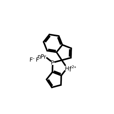 CCCP1C2=[C](CC=C2)[Hf+2][C]12C=Cc1ccccc12.[F-].[F-]